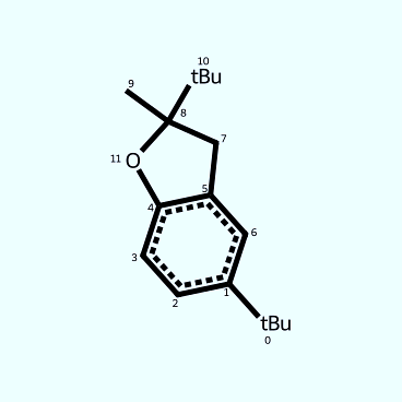 CC(C)(C)c1ccc2c(c1)CC(C)(C(C)(C)C)O2